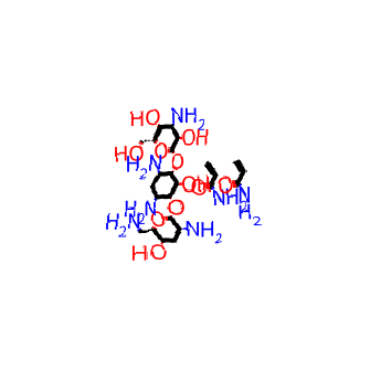 C=CC(N)=O.C=CC(N)=O.NC[C@H]1O[C@H](O[C@H]2[C@H](O)[C@@H](O[C@H]3O[C@H](CO)[C@@H](O)[C@H](N)[C@H]3O)[C@H](N)C[C@@H]2N)[C@H](N)C[C@@H]1O